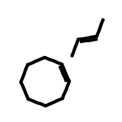 C/C=C/C.C1=C\CCCCCC/1